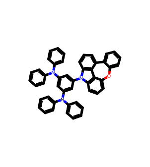 c1ccc(N(c2ccccc2)c2cc(N(c3ccccc3)c3ccccc3)cc(-n3c4cccc5oc6ccccc6c6cccc3c6c54)c2)cc1